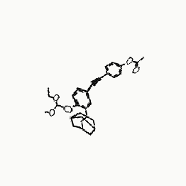 CCOC(OC)Oc1ccc(C#Cc2ccc(OC(C)=O)cc2)cc1C12CC3CC(CC(C3)C1)C2